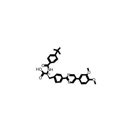 COc1ccc(-c2cnc(-c3ccc(C[C@H](NC(=O)c4ccc(C(C)(C)C)cc4)C(=O)O)cc3)nc2)cc1OC